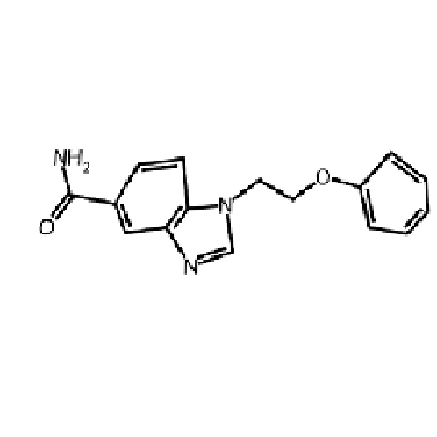 NC(=O)c1ccc2c(c1)ncn2CCOc1ccccc1